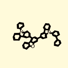 c1ccc(-c2cccc(-n3c4ccccc4c4cc(-c5cc(-c6ccc7c(c6)c6ccccc6n7-c6ccccc6)c6c(c5)oc5ccccc56)ccc43)c2)cc1